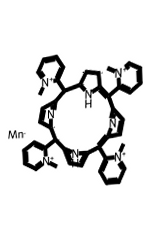 C[n+]1ccccc1[C]1[C]2[CH][CH]C(=C(c3cccc[n+]3C)C3=NC(=C(c4cccc[n+]4C)c4ccc([nH]4)[C](c4cccc[n+]4C)[C]4C=CC1=N4)C=C3)N2.[Mn]